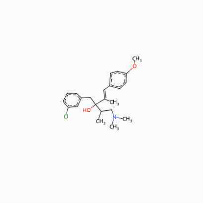 COc1ccc(C=C(C)C(O)(Cc2cccc(Cl)c2)C(C)CN(C)C)cc1